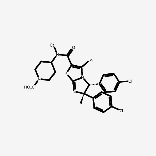 CCN(C(=O)C1=C(C(C)C)N2C(=N[C@@](C)(c3ccc(Cl)cc3)[C@H]2c2ccc(Cl)cc2)S1)C1CCN(C(=O)O)CC1